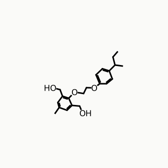 CCC(C)c1ccc(OCCOc2c(CO)cc(C)cc2CO)cc1